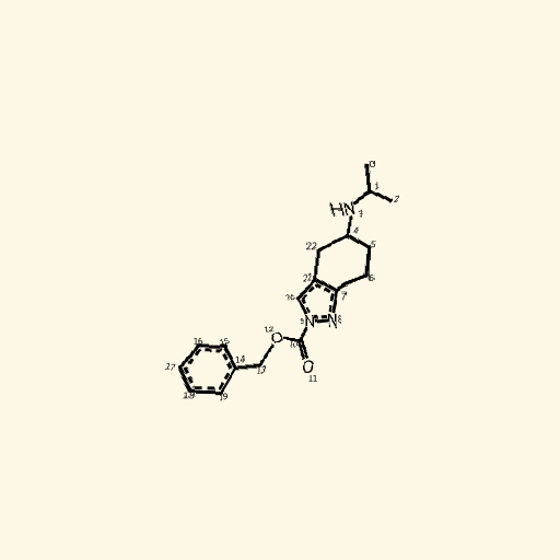 CC(C)NC1CCc2nn(C(=O)OCc3ccccc3)cc2C1